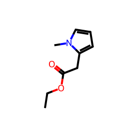 CCOC(=O)Cc1cccn1C